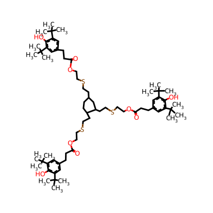 CC(C)(C)c1cc(CCC(=O)OCCSCCC2CCC(CCSCCOC(=O)CCc3cc(C(C)(C)C)c(O)c(C(C)(C)C)c3)C(CCSCCOC(=O)CCc3cc(C(C)(C)C)c(O)c(C(C)(C)C)c3)C2)cc(C(C)(C)C)c1O